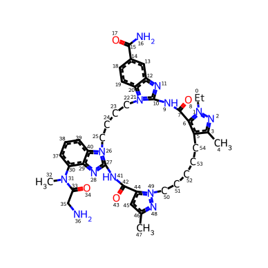 CCn1nc(C)c2c1C(=O)Nc1nc3cc(C(N)=O)ccc3n1CCCCn1c(nc3c(N(C)C(=O)CN)cccc31)NC(=O)c1cc(C)nn1CCCCC2